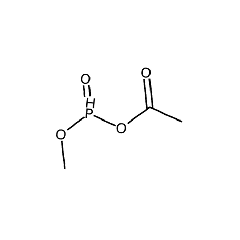 CO[PH](=O)OC(C)=O